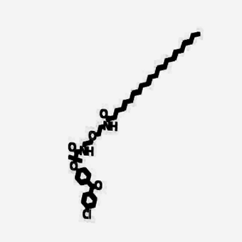 CCC=CCC=CCC=CCC=CCC=CCC=CCCC(=O)NCCOCCNC(=O)C(C)(C)Oc1ccc(C(=O)c2ccc(Cl)cc2)cc1